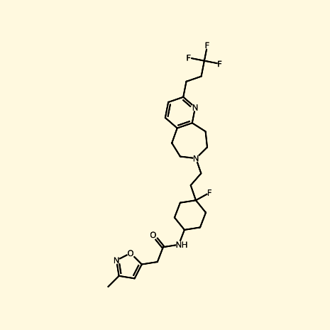 Cc1cc(CC(=O)NC2CCC(F)(CCN3CCc4ccc(CCC(F)(F)F)nc4CC3)CC2)on1